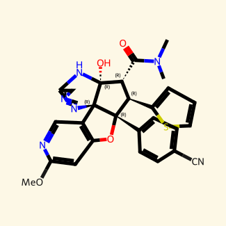 COc1cc2c(cn1)[C@]13n4cncc4N[C@@]1(O)[C@H](C(=O)N(C)C)[C@@H](c1cccs1)[C@]3(c1ccc(C#N)cc1)O2